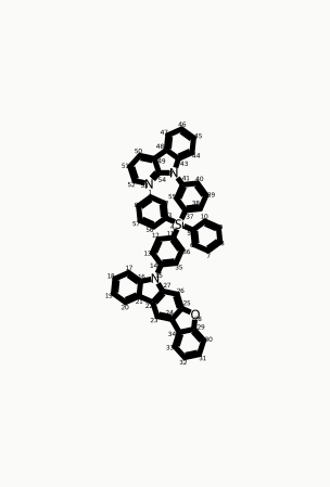 c1ccc([Si](c2ccccc2)(c2ccc(-n3c4ccccc4c4cc5c(cc43)oc3ccccc35)cc2)c2cccc(-n3c4ccccc4c4cccnc43)c2)cc1